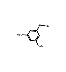 COc1cc(NC(C)(C)C)cc(OC)c1